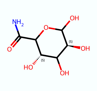 NC(=O)C1OC(O)[C@@H](O)C(O)[C@@H]1O